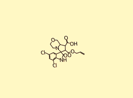 C=CCOC(=O)C1C(C(=O)O)C2COCCN2C12C(=O)Nc1c(Cl)cc(Cl)cc12